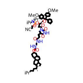 COc1ccc(C(OC[C@H]2O[C@@H](n3cc(/C=C/C(=O)NCCNC(=O)O[C@H]4CC[C@@]5(C)C(=CCC6C5CC[C@@]5(C)C6CC[C@@H]5[C@H](C)CCCC(C)C)C4)c(=O)[nH]c3=O)CC2OP(OCCC#N)N(C(C)C)C(C)C)(c2ccccc2)c2ccc(OC)cc2)cc1